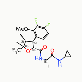 COc1c([C@H]2[C@H](C(=O)N[C@@H](C)C(=O)NC3CC3)O[C@@](C)(C(F)(F)F)[C@H]2C)ccc(F)c1F